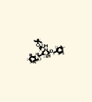 CC(C)(C)OC(=O)C[C@H](NC(=O)OCc1ccccc1)C(O)c1nc2ccccc2o1